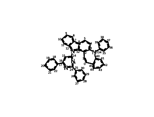 C1=Cc2c(ccc3c4ccccc4n(-c4cc(-c5ccccc5)nc(-c5ccccc5)n4)c23)N(c2ccccc2)c2ccccc21